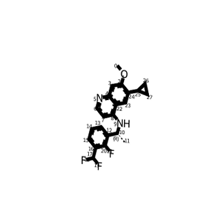 COc1cc2nccc(N[C@H](C)c3cccc(C(F)F)c3F)c2cc1C1CC1